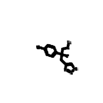 CCSCC(F)(Cc1c[nH]nn1)c1ccc(Cl)cc1